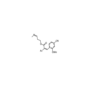 C/N=C\CCOC(=O)/C(=C\c1ccc(C#N)cc1OC)C(C)=O